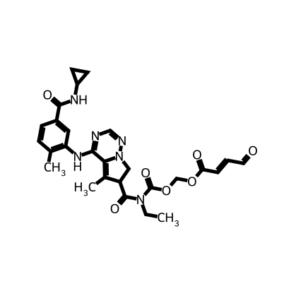 CCN(C(=O)OCOC(=O)/C=C/C=O)C(=O)C1CN2N=CN=C(Nc3cc(C(=O)NC4CC4)ccc3C)C2=C1C